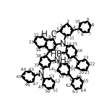 Cc1ccc(-c2ccccc2)cc1N1c2ccc(-c3ccccc3)cc2Bc2c1cc1ccccc1c2-c1ccc(N(c2ccccc2)c2ccccc2)cc1Nc1ccc(-c2ccccc2)cc1